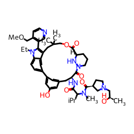 CCn1c(-c2cnccc2COC)c2c3cc(ccc31)-c1cc(O)cc(c1)C[C@H](NC(=O)C(C(C)C)N(C)C(=O)[C@H]1CCN(C[C@@H](C)O)C1)C(=O)N1CCC[C@H](N1)C(=O)OCC(C)(C)C2